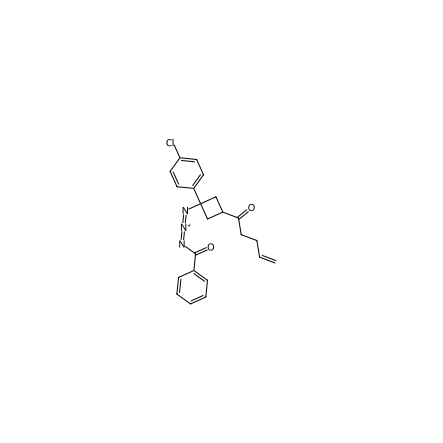 C=CCCC(=O)C1CC(N=[N+]=NC(=O)c2ccccc2)(c2ccc(Cl)cc2)C1